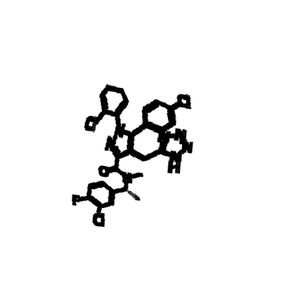 C[C@H](c1ccc(F)c(Cl)c1)N(C)C(=O)c1nn(-c2ccccc2Cl)c(-c2ccc(Cl)cc2)c1Cc1nnn[nH]1